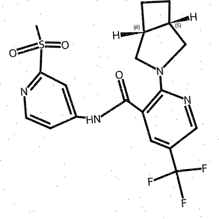 CS(=O)(=O)c1cc(NC(=O)c2cc(C(F)(F)F)cnc2N2C[C@H]3CC[C@H]3C2)ccn1